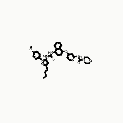 CCCCc1cc(NC(=O)Nc2ccc(Oc3ccnc(NC(=O)N4CCOCC4)c3)c3ccccc23)n(-c2ccc(OC)cc2)n1